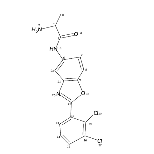 CC(N)C(=O)Nc1ccc2oc(-c3cccc(Cl)c3Cl)nc2c1